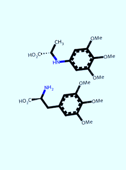 COc1cc(C[C@H](N)C(=O)O)cc(OC)c1OC.COc1cc(N[C@@H](C)C(=O)O)cc(OC)c1OC